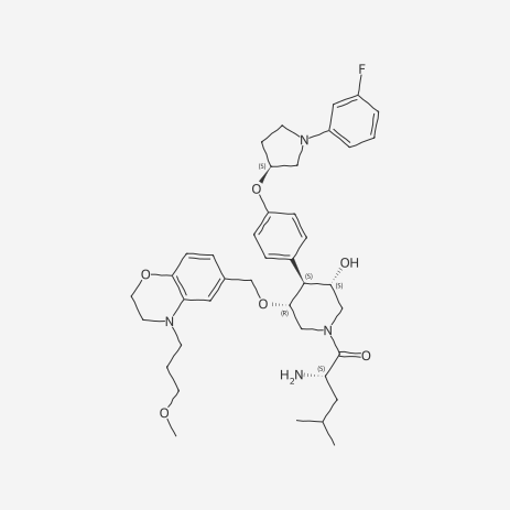 COCCCN1CCOc2ccc(CO[C@H]3CN(C(=O)[C@@H](N)CC(C)C)C[C@@H](O)[C@@H]3c3ccc(O[C@H]4CCN(c5cccc(F)c5)C4)cc3)cc21